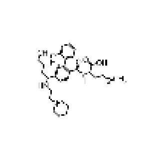 CCCCC(NCCN1CCCCC1)c1ccc(C(=O)NC(CCSC)C(=O)O)c(-c2ccccc2C)c1